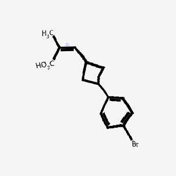 C/C(=C/C1CC(c2ccc(Br)cc2)C1)C(=O)O